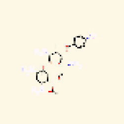 CC(=O)O[C@@H]1[C@@H](OC(C)=O)[C@H](N)C[C@H](N)[C@H]1O[C@H]1O[C@H](CN)[C@H](OC(=O)c2ccc([N+](=O)[O-])cc2)[C@H](F)[C@H]1N